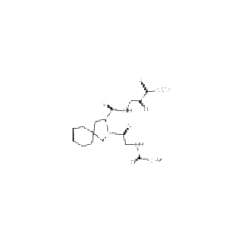 CNC(=O)C(=O)CNC(=O)C1CC2(CCCCC2)CN1C(=O)CNC(=O)OC